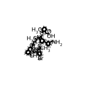 Cc1cccc(CC(=O)O)c1OCc1nn(C(C)CCCOC(=O)Cc2cccc(C)c2OCc2nn(C(C)C)c3ccc(Br)cc23)c2ccc(-c3cccc(CN)c3)cc12